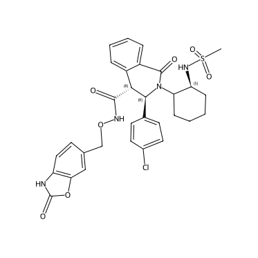 CS(=O)(=O)N[C@H]1CCCCC1N1C(=O)c2ccccc2[C@@H](C(=O)NOCc2ccc3[nH]c(=O)oc3c2)[C@@H]1c1ccc(Cl)cc1